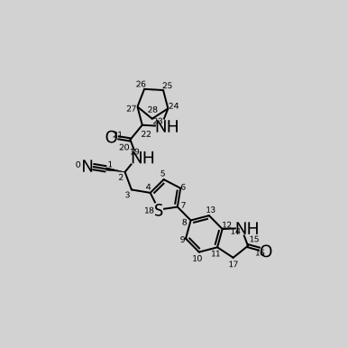 N#C[C@H](Cc1ccc(-c2ccc3c(c2)NC(=O)C3)s1)NC(=O)C1NC2CCC1C2